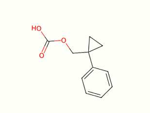 O=C(O)OCC1(c2ccccc2)CC1